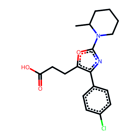 CC1CCCCN1c1nc(-c2ccc(Cl)cc2)c(CCC(=O)O)o1